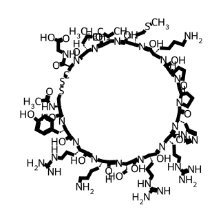 CSCC[C@@H]1N=C(O)[C@H](CCCCN)N=C(O)[C@@H]2CCCN2C(=O)[C@@H]2CCCN2C(=O)[C@H](Cc2cnc[nH]2)N=C(O)[C@H](CCCNC(=N)N)N=C(O)[C@H](CCCNC(=N)N)N=C(O)[C@H](CO)N=C(O)[C@H](CCCCN)N=C(O)[C@H](CCCNC(=N)N)N=C(O)[C@H](Cc2ccc(O)cc2)N=C(O)[C@@H](NC(C)=O)CSSC[C@@H](C(=O)NCC(=O)O)N=C(O)[C@H](CC(C)C)N=C(O)[C@H](C(C)C)N=C1O